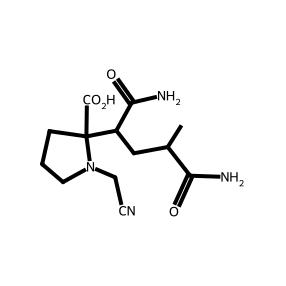 CC(CC(C(N)=O)C1(C(=O)O)CCCN1CC#N)C(N)=O